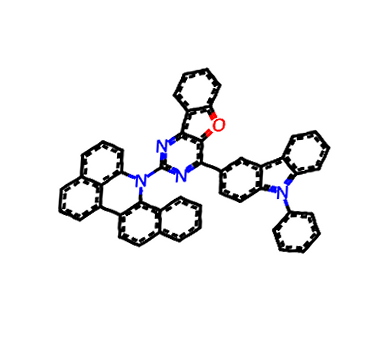 c1ccc(-n2c3ccccc3c3cc(-c4nc(N5c6c(ccc7ccccc67)-c6cccc7cccc5c67)nc5c4oc4ccccc45)ccc32)cc1